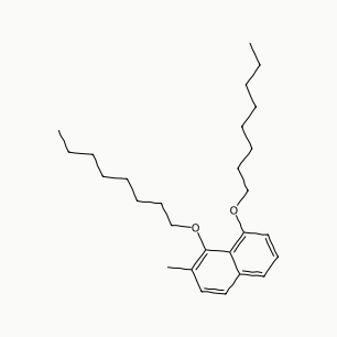 CCCCCCCCOc1cccc2ccc(C)c(OCCCCCCCC)c12